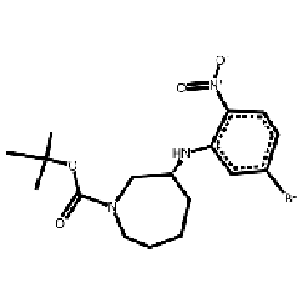 CC(C)(C)OC(=O)N1CCCC[C@H](Nc2cc(Br)ccc2[N+](=O)[O-])C1